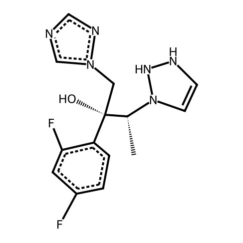 C[C@@H](N1C=CNN1)[C@](O)(Cn1cncn1)c1ccc(F)cc1F